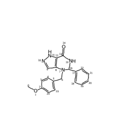 COc1ccc(CN2c3cn[nH]c3C(=O)NC2c2ccccc2)cc1